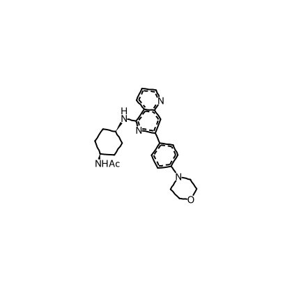 CC(=O)N[C@H]1CC[C@@H](Nc2nc(-c3ccc(N4CCOCC4)cc3)cc3ncccc23)CC1